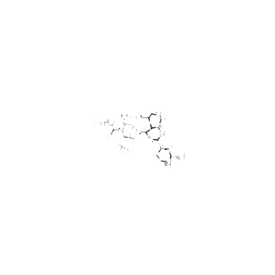 COc1cncc2nc(-c3ccnc(Cl)c3)nc(N3CCN(C(=O)OC(C)(C)C)[C@@H](CO)C3)c12